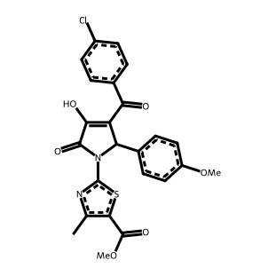 COC(=O)c1sc(N2C(=O)C(O)=C(C(=O)c3ccc(Cl)cc3)C2c2ccc(OC)cc2)nc1C